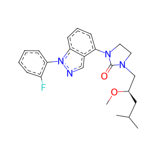 CO[C@H](CC(C)C)CN1CCN(c2cccc3c2cnn3-c2ccccc2F)C1=O